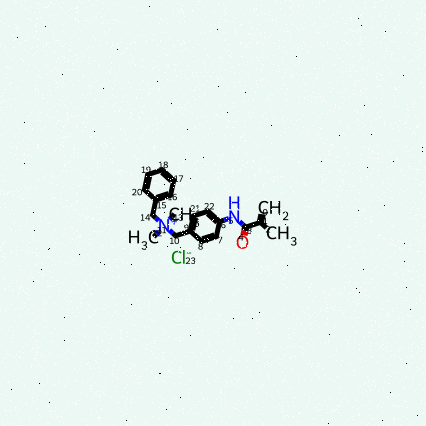 C=C(C)C(=O)Nc1ccc(C[N+](C)(C)Cc2ccccc2)cc1.[Cl-]